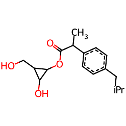 CC(C)Cc1ccc(C(C)C(=O)OC2C(O)C2CO)cc1